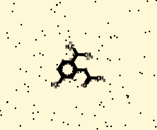 CC(=O)Cc1cc(C)ccc1C(C)C